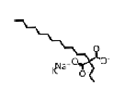 CCCCCCCCCCCCC(CCC)(C(=O)[O-])C(=O)[O-].[K+].[Na+]